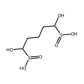 O=S(O)C(O)CCCC(O)S(=O)O